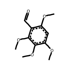 COc1cc(OC)c(OC)c(OC)c1C=O